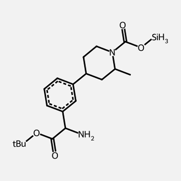 CC1CC(c2cccc(C(N)C(=O)OC(C)(C)C)c2)CCN1C(=O)O[SiH3]